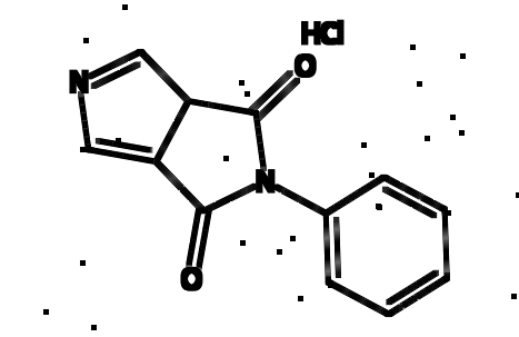 Cl.O=C1C2=CN=CC2C(=O)N1c1ccccc1